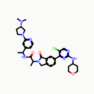 CC(NC(=O)C(C)N1Cc2ccc(-c3nc(NC4CCOCC4)ncc3Cl)cc2C1=O)c1ccnc(N2CC[C@@H](N(C)C)C2)c1